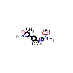 COc1cc(-c2cc(C)c(=O)n(C)c2)ccc1CN1CC(N(C)C(=O)OC(C)(C)C)C1